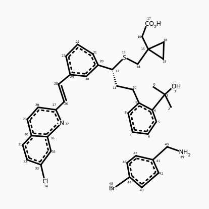 CC(C)(O)c1ccccc1CC[C@@H](SCC1(CC(=O)O)CC1)c1cccc(/C=C/c2ccc3ccc(Cl)cc3n2)c1.NCc1ccc(Br)cc1